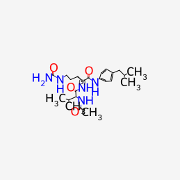 CC(=O)NC(C(=O)N[C@@H](CCCNC(N)=O)C(=O)Nc1ccc(CC(C)C)cc1)C(C)C